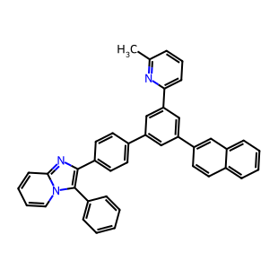 Cc1cccc(-c2cc(-c3ccc(-c4nc5ccccn5c4-c4ccccc4)cc3)cc(-c3ccc4ccccc4c3)c2)n1